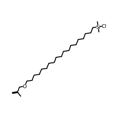 C=C(C)COCCCCCCCCCCCCCCCCCCC[Si](C)(C)Cl